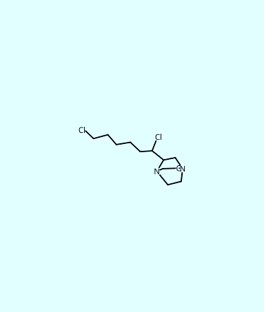 ClCCCCCC(Cl)C1CN2CCN1CC2